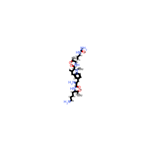 CC(Cc1cccc(CC(N)C(=O)NC(CCCCN)C(=O)C(C)(C)C)c1)[C@H](NC(C)(C)C)C(=O)N[C@@H](CCCNC(N)=O)C(=O)C(C)(C)C